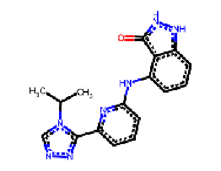 CC(C)n1cnnc1-c1cccc(Nc2cccc3[nH][nH]c(=O)c23)n1